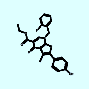 CCOC(=O)c1cn(Cc2ccccc2F)c2sc(-c3ccc(O)cc3)c(C)c2c1=O